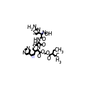 CCC(CC)C(=O)OCOC(=O)C1=C(/C=C\c2cncnc2)CS[C@@H]2[C@H](NC(=O)/C(=N\O)c3csc(N)n3)C(=O)N12